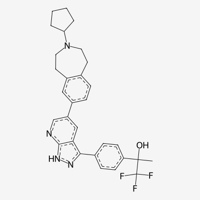 CC(O)(c1ccc(-c2n[nH]c3ncc(-c4ccc5c(c4)CCN(C4CCCC4)CC5)cc23)cc1)C(F)(F)F